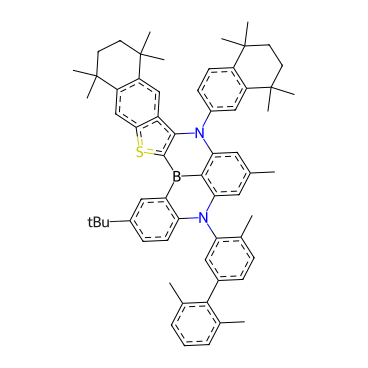 Cc1cc2c3c(c1)N(c1ccc4c(c1)C(C)(C)CCC4(C)C)c1c(sc4cc5c(cc14)C(C)(C)CCC5(C)C)B3c1cc(C(C)(C)C)ccc1N2c1cc(-c2c(C)cccc2C)ccc1C